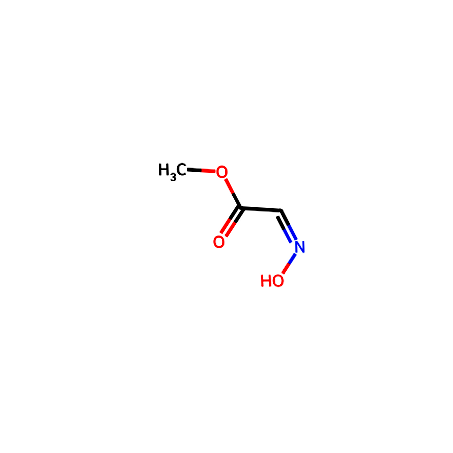 COC(=O)/C=N\O